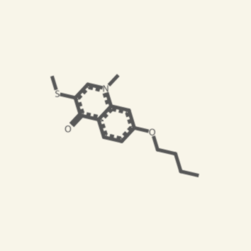 CCCCOc1ccc2c(=O)c(SC)cn(C)c2c1